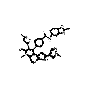 Cc1cc(-c2c(-c3ccc(C(=O)Nc4ccc5oc(C)nc5c4)cc3)c3c4cc(-c5cnn(C)c5)[nH]c4ncc3n(C)c2=O)on1